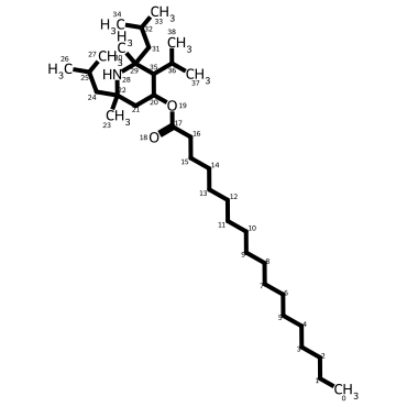 CCCCCCCCCCCCCCCCCC(=O)OC1CC(C)(CC(C)C)NC(C)(CC(C)C)C1C(C)C